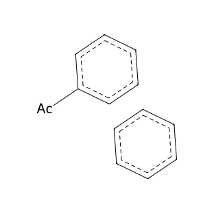 CC(=O)c1ccccc1.c1ccccc1